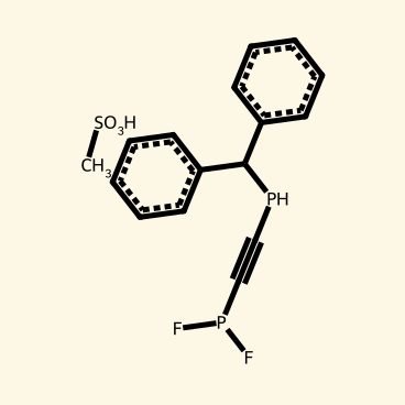 CS(=O)(=O)O.FP(F)C#CPC(c1ccccc1)c1ccccc1